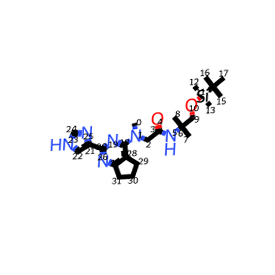 CN(CC(=O)NC(C)(C)CO[Si](C)(C)C(C)(C)C)c1nc(-c2c[nH]cn2)nc2c1CCC2